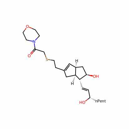 CCCCC[C@H](O)/C=C/[C@@H]1[C@H]2CC(CCSCC(=O)N3CCOCC3)=C[C@H]2C[C@H]1O